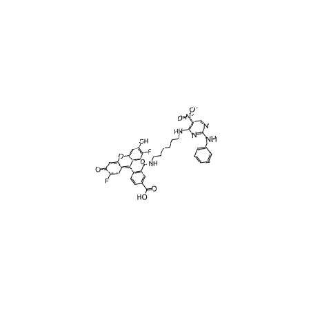 O=C(O)c1ccc(-c2c3cc(F)c(=O)cc-3oc3cc(O)c(F)cc23)c(C(=O)NCCCCCCNc2nc(Nc3ccccc3)ncc2[N+](=O)[O-])c1